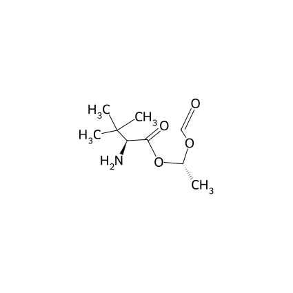 C[C@@H](OC=O)OC(=O)[C@@H](N)C(C)(C)C